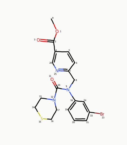 COC(=O)c1ccc(CN(C(=O)N2CCSCC2)c2cccc(Br)c2)nc1